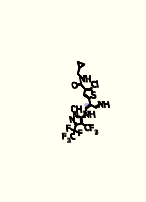 Cn1nc(C(F)(F)C(F)(F)F)c(C(F)(F)F)c1N/C=C(\C=N)c1cc(C(=O)NCC2CC2)c(Cl)s1